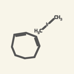 C1=CCCCCC=C1.[CH3][Ir][CH3]